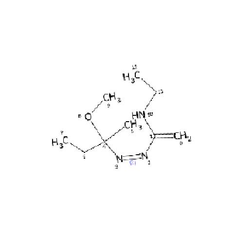 C=C(/N=N\C(C)(CC)OC)NCC